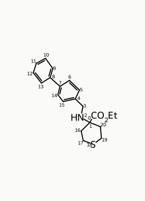 CCOC(=O)C1(NCc2ccc(-c3ccccc3)cc2)CCSCC1